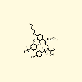 COCCOc1ccc(/C=C/CN(C(=O)O)S(=O)(=O)c2ccc(Cl)cc2)c(Oc2ncc(C(F)(F)F)cc2Cl)c1.O.O